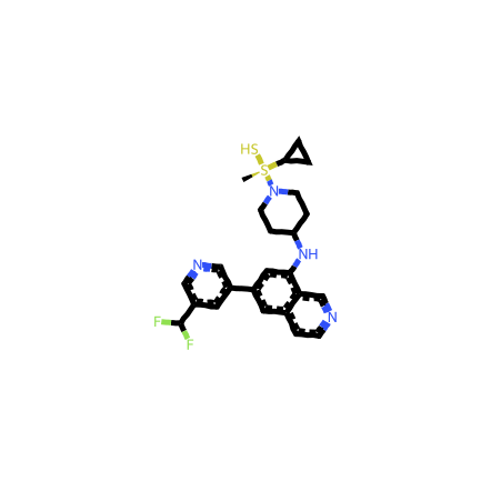 C[S@@](S)(C1CC1)N1CCC(Nc2cc(-c3cncc(C(F)F)c3)cc3ccncc23)CC1